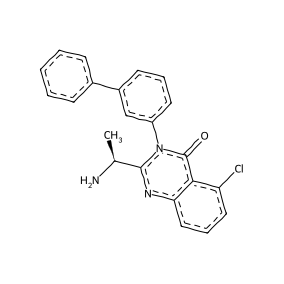 C[C@H](N)c1nc2cccc(Cl)c2c(=O)n1-c1cccc(-c2ccccc2)c1